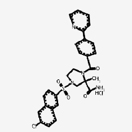 CC1(C(N)=O)CN(S(=O)(=O)c2ccc3cc(Cl)ccc3c2)CCN1C(=O)c1ccc(-c2ccccn2)cc1.Cl